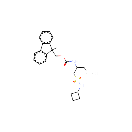 CC1(COC(=O)NC(CC(=O)O)CS(=O)(=O)NC2CCC2)c2ccccc2-c2ccccc21